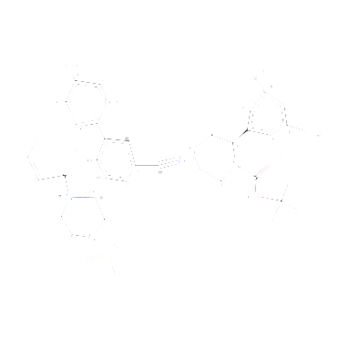 CC(C)(C)OC(=O)N1CCNC[C@H]1c1cc(Cl)cc(Br)c1.CS(=O)(=O)N1CCN(C(=O)/C=C\Cl)[C@H](c2cc(C#N)cc(-c3ncc(F)cn3)c2)C1